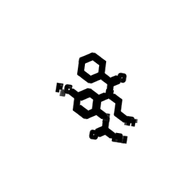 CC(C)CCN(C(=O)C1CCCCC1)c1cc(C(F)(F)F)ccc1SC(=O)C(C)(C)C